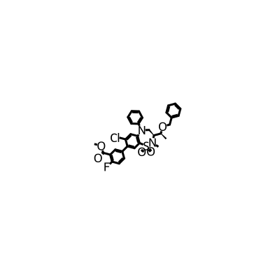 COC(=O)c1cc(-c2cc3c(cc2Cl)N(c2ccccc2)C[C@@H]([C@H](C)OCc2ccccc2)N(C)S3(=O)=O)ccc1F